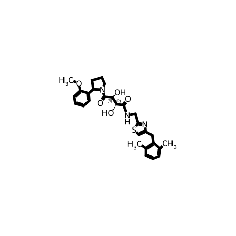 COc1ccccc1C1CCCN1C(=O)[C@H](O)[C@@H](O)C(=O)NCc1nc(Cc2c(C)cccc2C)cs1